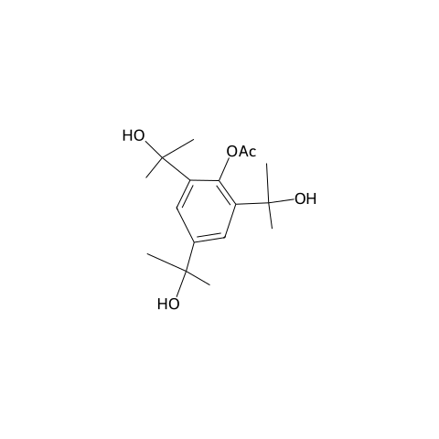 CC(=O)Oc1c(C(C)(C)O)cc(C(C)(C)O)cc1C(C)(C)O